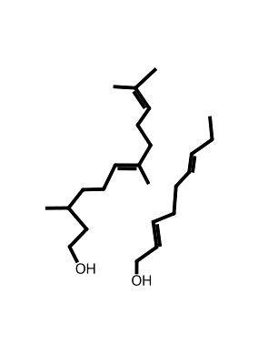 CC(C)=CCCC(C)=CCCC(C)CCO.CCC=CCCC=CCO